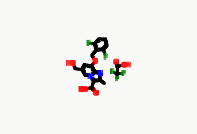 Cc1nc2c(OCc3c(F)cccc3F)cc(CO)cn2c1C(=O)O.O=C(O)C(F)(F)F